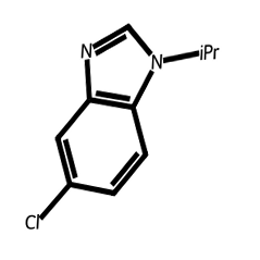 CC(C)n1cnc2cc(Cl)ccc21